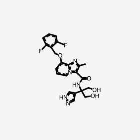 Cc1nc2c(OCc3c(F)cccc3F)cccn2c1C(=O)NC(CO)(CO)c1cn[nH]c1